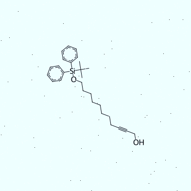 CC(C)(C)[Si](OCCCCCCCCC#CCO)(c1ccccc1)c1ccccc1